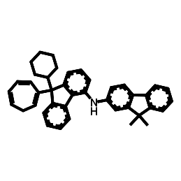 CC1(C)c2ccccc2-c2ccc(Nc3cccc4c3-c3ccccc3C4(C3=CCC=CC=C3)C3CCCCC3)cc21